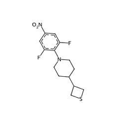 O=[N+]([O-])c1cc(F)c(N2CCC(C3CSC3)CC2)c(F)c1